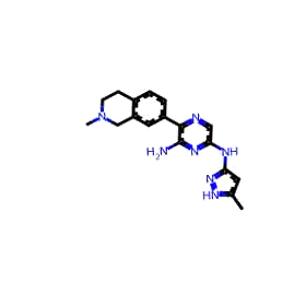 Cc1cc(Nc2cnc(-c3ccc4c(c3)CN(C)CC4)c(N)n2)n[nH]1